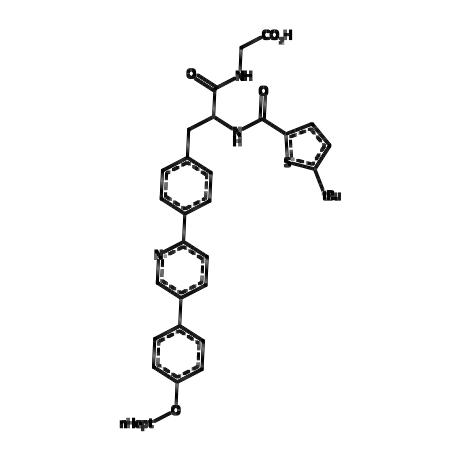 CCCCCCCOc1ccc(-c2ccc(-c3ccc(CC(NC(=O)c4ccc(C(C)(C)C)s4)C(=O)NCC(=O)O)cc3)nc2)cc1